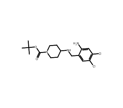 CC(C)(C)OC(=O)N1CCC(NCc2cc(Cl)c(Cl)cc2N)CC1